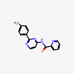 Cc1ccc(-c2nccc(NC(=O)c3ccccn3)n2)cc1